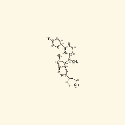 CCc1nc2ccc(C3CCNCC3)nn2c1N(C)c1ccnc(-c2ccc(F)cc2)n1